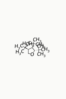 CC(C)(C)C1[C@H](C(C)(C)C)CO[C@H]1C(C)(C)C